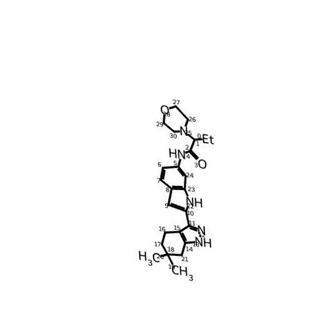 CCC(C(=O)Nc1ccc2cc(-c3n[nH]c4c3CCC(C)(C)C4)[nH]c2c1)N1CCOCC1